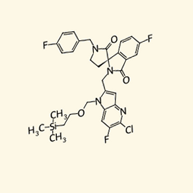 C[Si](C)(C)CCOCn1c(CN2C(=O)c3cc(F)ccc3[C@]23CCN(Cc2ccc(F)cc2)C3=O)cc2nc(Cl)c(F)cc21